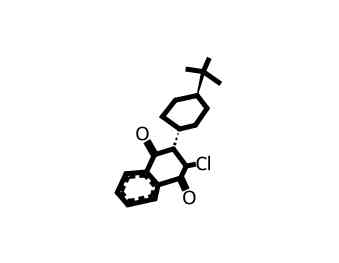 CC(C)(C)[C@H]1CC[C@H](C2C(=O)c3ccccc3C(=O)C2Cl)CC1